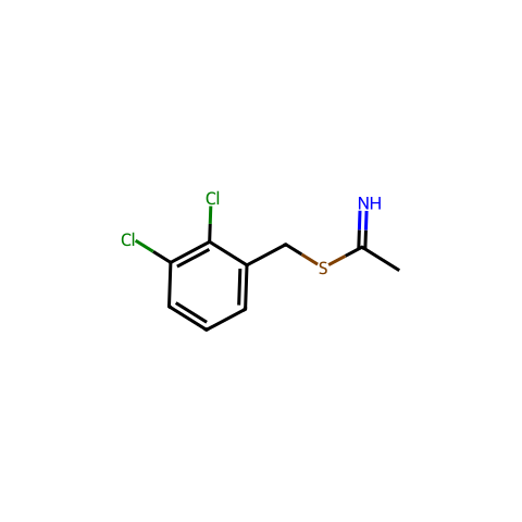 CC(=N)SCc1cccc(Cl)c1Cl